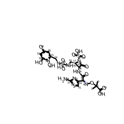 CC(C)(O/N=C(\C(=O)N[C@@H]1C(=O)N(S(=O)(=O)O)[C@@H]1CNS(=O)(=O)NCc1cc(=O)cc(O)n1O)c1csc(N)n1)C(=O)O